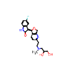 CN(CCc1ccc2c(n1)COC2=C1C(=O)Nc2ccc(F)cc21)CC(O)CO